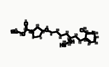 CC(C)(C)OC(=O)N1CCC(OCCCCC(CCc2cccnc2Cl)NS)C1